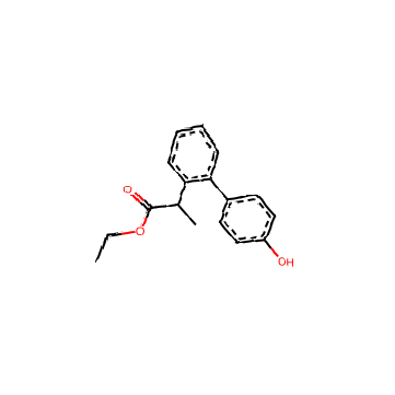 CCOC(=O)C(C)c1ccccc1-c1ccc(O)cc1